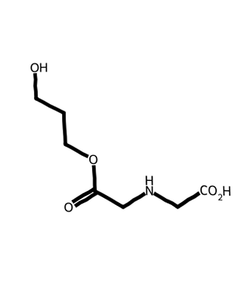 O=C(O)CNCC(=O)OCCCO